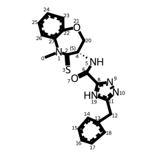 CN1C(=S)[C@@H](NC(=O)c2nnc(Cc3ccccc3)[nH]2)COc2ccccc21